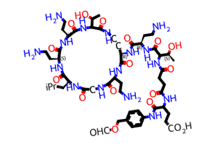 CC(C)C[C@@H]1NC(=O)CNC(=O)C(CCN)NC(=O)[C@H](NC(=O)[C@@H](CCN)NC(=O)C(NC(=O)CCC(=O)NC(CCC(=O)O)C(=O)Nc2ccc(COC=O)cc2)[C@H](C)O)CCNC(=O)C(C(C)O)NC(=O)[C@H](CCN)NC(=O)[C@H](CCN)NC1=O